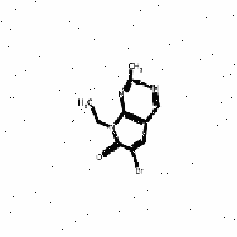 CCn1c(=O)c(Br)cc2cnc(C)nc21